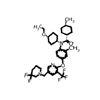 CCO[C@H]1CC[C@H](N(c2ccc(Oc3ncc(CN4CCCC(F)(F)C4)cc3C(F)(F)F)cc2C)C(=O)[C@H]2CC[C@H](C)CC2)CC1